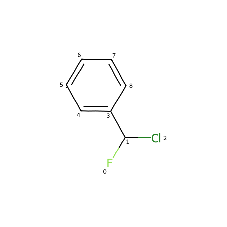 FC(Cl)c1c[c]ccc1